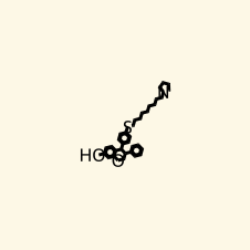 Oc1ccc2c(c1)OCC(c1ccccc1)C2c1ccc(SCCCCCCCCCN2CCCC2)cc1